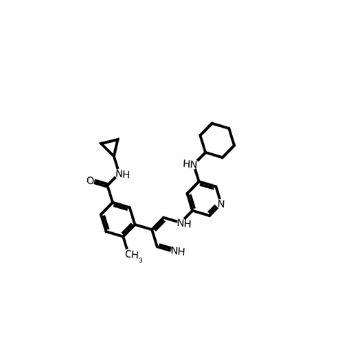 Cc1ccc(C(=O)NC2CC2)cc1/C(C=N)=C/Nc1cncc(NC2CCCCC2)c1